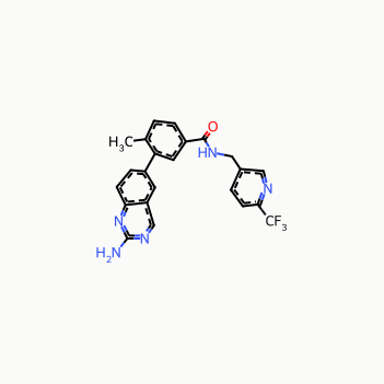 Cc1ccc(C(=O)NCc2ccc(C(F)(F)F)nc2)cc1-c1ccc2nc(N)ncc2c1